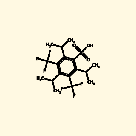 CC(C)c1c(C(F)(F)F)c(C(C)C)c(S(=O)(=O)O)c(C(C)C)c1C(F)(F)F